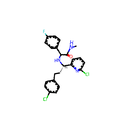 CNC(=O)C(N[C@@H](CCc1ccc(Cl)cc1)c1cccc(Cl)n1)c1ccc(F)cc1